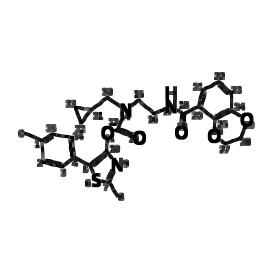 Cc1ccc(-c2sc(C)nc2OC(=O)N(CCNC(=O)c2cccc3c2OCCO3)CC2CC2)cc1